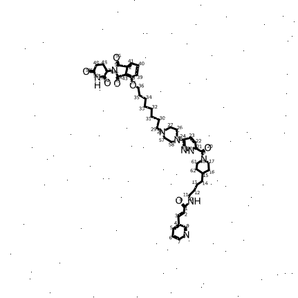 O=C(/C=C/c1cccnc1)NCCCCC1CCN(C(=O)c2ccc(N3CCN(CCCCCCCCOc4cccc5c4C(=O)N(C4CCC(=O)NC4=O)C5=O)CC3)nn2)CC1